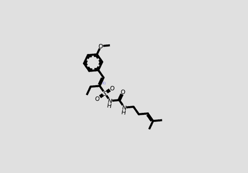 CC/C(=C\c1cccc(OC)c1)S(=O)(=O)NC(=O)NCCC=C(C)C